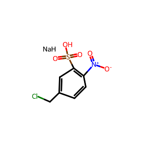 O=[N+]([O-])c1ccc(CCl)cc1S(=O)(=O)O.[NaH]